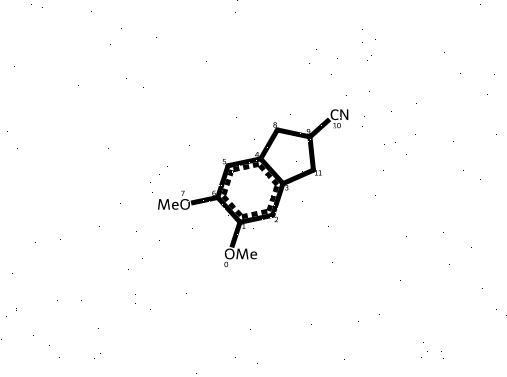 COc1cc2c(cc1OC)CC(C#N)C2